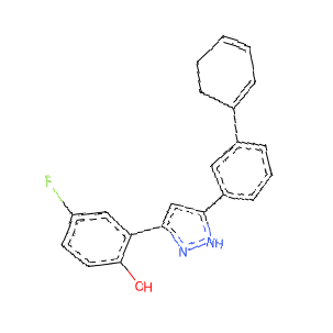 Oc1ccc(F)cc1-c1cc(-c2cccc(C3=CC=CCC3)c2)[nH]n1